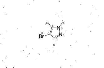 Cc1nn(C)c(C)c1Br